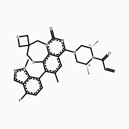 C=CC(=O)N1[C@H](C)CN(c2nc(=O)n3c4c(c(-c5ccc(F)c6cnn(C)c56)c(C)cc24)SCC2(COC2)C3)C[C@@H]1C